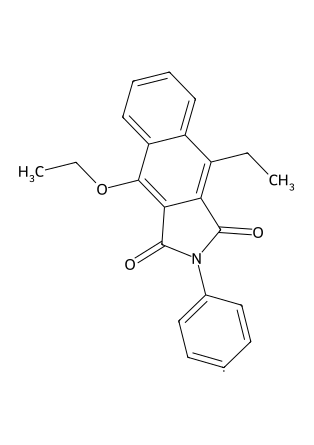 CCOc1c2c(c(CC)c3ccccc13)C(=O)N(c1cc[c]cc1)C2=O